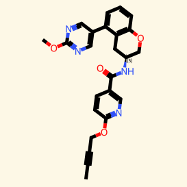 CC#CCOc1ccc(C(=O)N[C@@H]2COc3cccc(-c4cnc(OC)nc4)c3C2)cn1